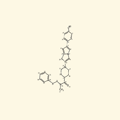 CC(C)c1ccc(-c2cn3nc(N4CCC(C(=O)N(C)CCc5ccccc5)CC4)sc3n2)cc1